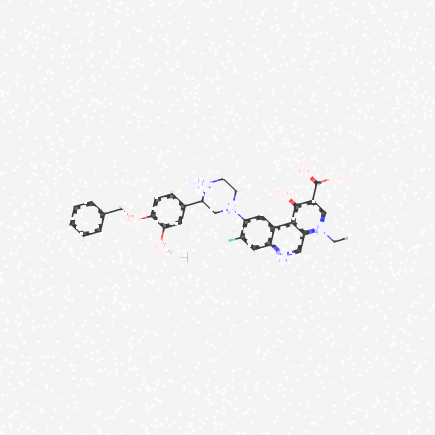 CCn1cc(C(=O)O)c(=O)c2c3cc(N4CCNC(c5ccc(OCc6ccccc6)c(OC)c5)C4)c(F)cc3ncc21